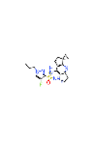 CCCn1cc(F)c([SH](N)(=O)Nc2c3c(nc4c2CCC42CC2)CCC3)n1